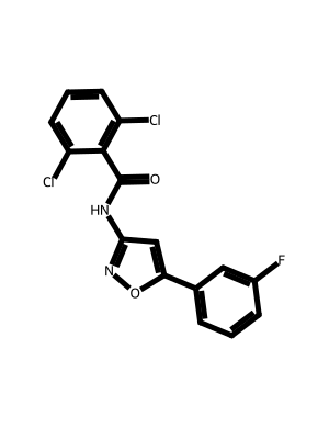 O=C(Nc1cc(-c2cccc(F)c2)on1)c1c(Cl)cccc1Cl